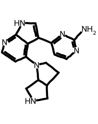 Nc1nccc(-c2c[nH]c3nccc(N4CCC5CNCC54)c23)n1